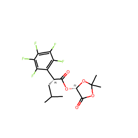 CC(C)C[C@@H](C(=O)O[C@@H]1OC(C)(C)OC1=O)c1c(F)c(F)c(F)c(F)c1F